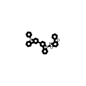 c1ccc(-n2c3ccccc3c3cc(-c4ccc5c(c4)c4ccccc4n5-c4nc5c(ccc6oc7ccccc7c65)o4)ccc32)cc1